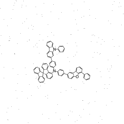 c1ccc(-c2cccc3c2oc2ccc(-c4ccc(N(c5ccc(-c6ccc7c8ccccc8n(-c8ccccc8)c7c6)cc5)c5cccc6c5-c5ccccc5C65c6ccccc6-c6ccccc65)cc4)cc23)cc1